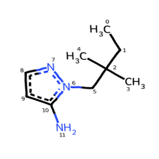 CCC(C)(C)Cn1nccc1N